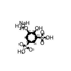 O.O=S(=O)(O)c1cc(O)c(O)c(S(=O)(=O)O)c1.[NaH]